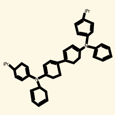 CC(C)c1ccc(N(C2=CC=C(C3=CC=C(N(C4=CCC(C(C)C)C=C4)C4C=CC=CC4)CC3)CC2)c2ccccc2)cc1